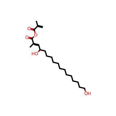 C=C(C)C(=O)OC(=O)C(C)=CC(O)CCCCCCCCCCCCCO